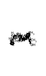 CCOC1(NCCCCO)C2CC3(C)CC(C)(C2)CC1(Cn1ncc(-c2ccc(N(C)c4cc(C)c(Nc5nc6ccccc6s5)nn4)nc2C(=O)O)c1C)C3